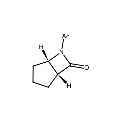 CC(=O)N1C(=O)[C@@H]2CCC[C@@H]21